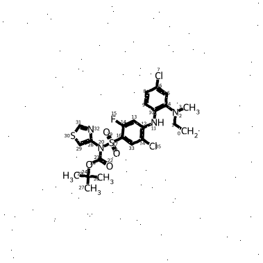 [CH2]CN(C)c1cc(Cl)ccc1Nc1cc(F)c(S(=O)(=O)N(C(=O)OC(C)(C)C)c2cscn2)cc1Cl